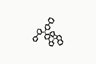 C1=C(c2ccccc2)CCC=C1N(c1ccc(-c2ccccc2)cc1)c1ccc(-c2ccccc2-n2c3ccccc3c3ccc4ccccc4c32)cc1